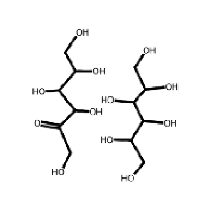 O=C(CO)C(O)C(O)C(O)CO.OCC(O)C(O)C(O)C(O)CO